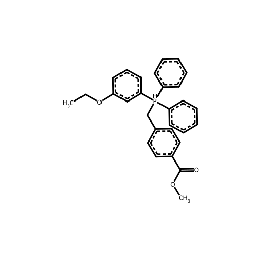 CCOc1cccc([PH](Cc2ccc(C(=O)OC)cc2)(c2ccccc2)c2ccccc2)c1